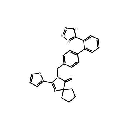 O=C1N(Cc2ccc(-c3ccccc3-c3nnn[nH]3)cc2)C(c2cccs2)=NC12CCCC2